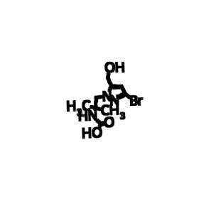 CC(C)(Cn1nc(Br)cc1CO)NC(=O)O